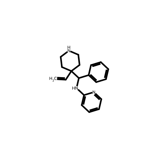 C=CC1(C(Nc2ccccn2)c2ccccc2)CCNCC1